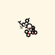 C=C1C2C(CCc3ccc4c(oc5ccccc54)c3-c3n(-c4c(-c5ccccc5)cccc4C(C)(C)C)c4ccccc4[n+]31)c1cc(C)ccc1-c1cc(CC(C)C)c([Si](C)(C)C)c[n+]12